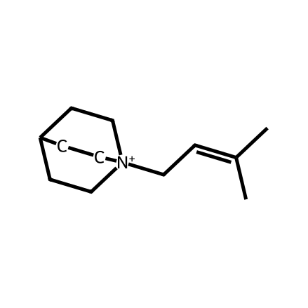 CC(C)=CC[N+]12CCC(CC1)CC2